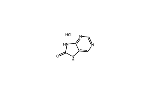 Cl.O=c1[nH]c2cncnc2[nH]1